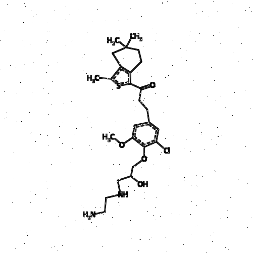 COc1cc(CCC(=O)c2sc(C)c3c2CCC(C)(C)C3)cc(Cl)c1OCC(O)CNCCN